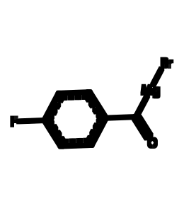 O=[C]([Mg][Br])c1ccc(F)cc1